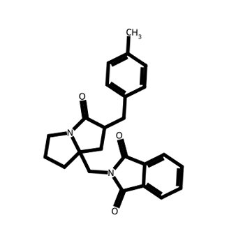 Cc1ccc(CC2CC3(CN4C(=O)c5ccccc5C4=O)CCCN3C2=O)cc1